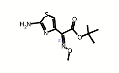 CO/N=C(\C(=O)OC(C)(C)C)c1csc(N)n1